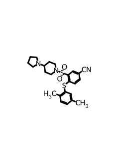 Cc1ccc(C)c(Sc2ccc(C#N)cc2S(=O)(=O)N2CCC(N3CCCC3)CC2)c1